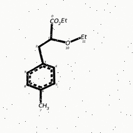 CCOC(=O)C(Cc1ccc(C)cc1)OCC